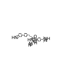 Cc1n[nH]c(C)c1-c1ccc(NC(=O)[C@H](CCCc2ccc(-c3ccc4c(c3)CNC4)cc2)NC(=O)c2ccnn2C)cc1